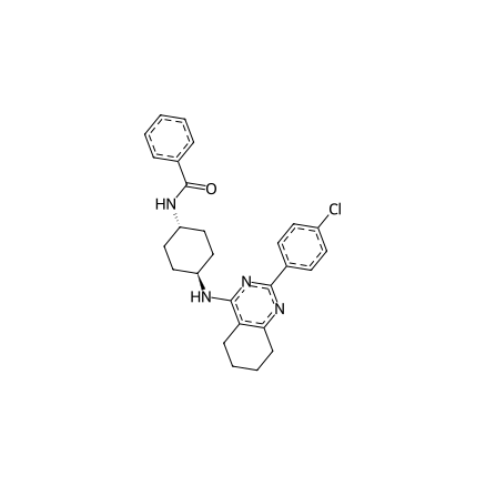 O=C(N[C@H]1CC[C@H](Nc2nc(-c3ccc(Cl)cc3)nc3c2CCCC3)CC1)c1ccccc1